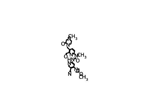 COC1CN(c2cc(NC(=O)N(C)c3ccc(CN4CCN(C)CC4=O)c(C=O)n3)ncc2C#N)C1